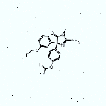 CN1C(=O)C(c2ccc(OC(F)F)cc2)(c2cccc(CCF)c2)N=C1N